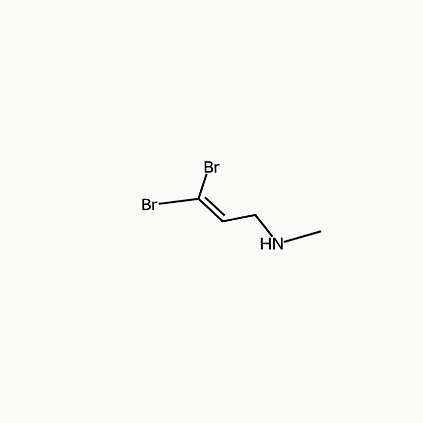 CNCC=C(Br)Br